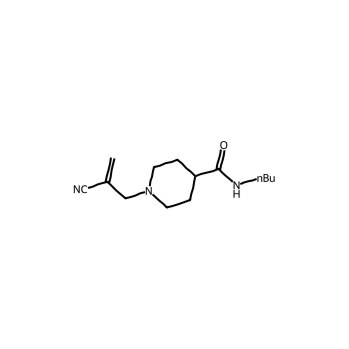 C=C(C#N)CN1CCC(C(=O)NCCCC)CC1